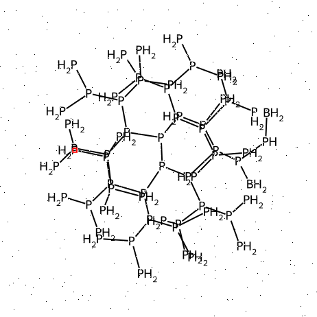 BPP(B)P(P(P)P)P(P(P(P)P)P(P)P)P(P(P(P(P)P)P(P)P)P(P(P)P)P(P)P)P(P(P(P(P)P)P(P)P)P(P(P)P)P(P)P)P(P(P(P)P)P(P)P)P(P(P)P)P(P)P